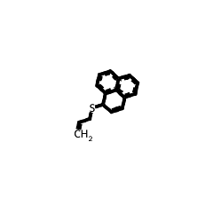 C=CCSC1C=Cc2cccc3cccc1c23